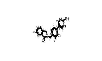 CCc1ncc(-c2ccc(CN3Cc4ccccc4C3=O)c(F)c2)cn1